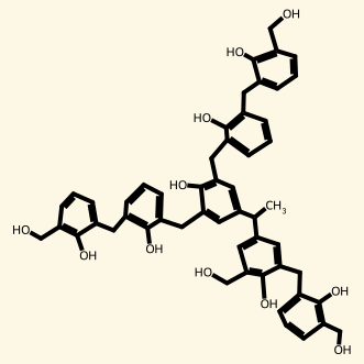 CC(c1cc(CO)c(O)c(Cc2cccc(CO)c2O)c1)c1cc(Cc2cccc(Cc3cccc(CO)c3O)c2O)c(O)c(Cc2cccc(Cc3cccc(CO)c3O)c2O)c1